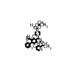 Cc1ccnc(C(C)C)c1-n1c(=O)nc(N2CCN(C(=O)OC(C)(C)C)CC2C)c2cc(C#N)c(-c3ccccc3F)cc21